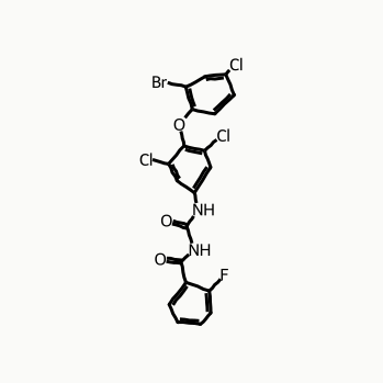 O=C(NC(=O)c1ccccc1F)Nc1cc(Cl)c(Oc2ccc(Cl)cc2Br)c(Cl)c1